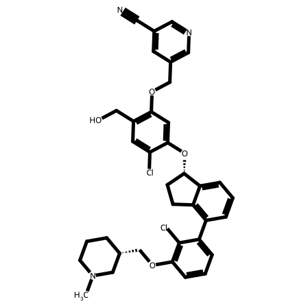 CN1CCC[C@H](COc2cccc(-c3cccc4c3CC[C@@H]4Oc3cc(OCc4cncc(C#N)c4)c(CO)cc3Cl)c2Cl)C1